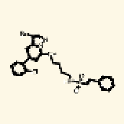 O=S(=O)(/C=C/c1ccccc1)NCCCCNc1cc(-c2ccccc2Cl)cc2c(Br)cnn12